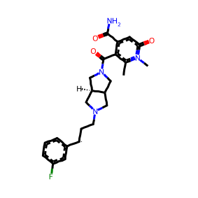 Cc1c(C(=O)N2CC3CN(CC[CH]c4cccc(F)c4)C[C@H]3C2)c(C(N)=O)cc(=O)n1C